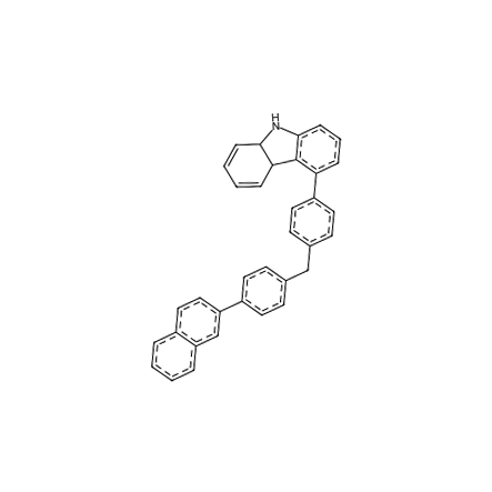 C1=CC2Nc3cccc(-c4ccc(Cc5ccc(-c6ccc7ccccc7c6)cc5)cc4)c3C2C=C1